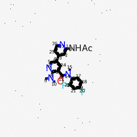 CC(=O)Nc1cc(-c2cnc(N(C)C)c(C(=O)N(C)c3ccc(F)cc3F)c2)ccn1